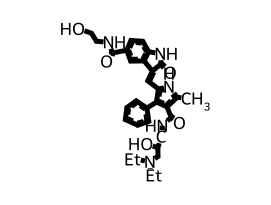 CCN(CC)CC(O)CNC(=O)c1c(C)[nH]c(C=C2C(=O)Nc3ccc(C(=O)NCCO)cc32)c1-c1ccccc1